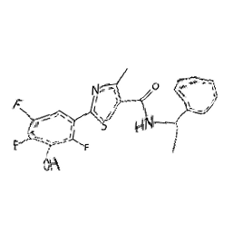 Cc1nc(-c2cc(F)c(F)c(O)c2F)sc1C(=O)NC(C)c1ccccc1